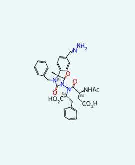 CC(=O)N[C@@H](CC(=O)O)C(=O)N([C@@H](Cc1ccccc1)C(=O)O)N1C(=O)N(Cc2ccccc2)[C@](C)(c2ccc(C=NN)cc2)C1=O